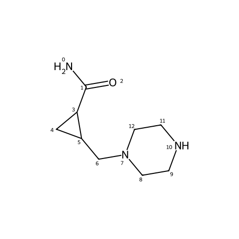 NC(=O)C1CC1CN1CCNCC1